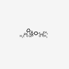 COC(=O)c1ccccc1NS(=O)(=O)c1ccc(SC(=O)N(C)C)cc1